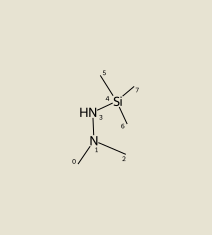 CN(C)N[Si](C)(C)C